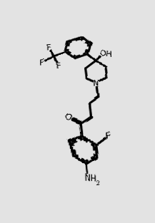 Nc1ccc(C(=O)CCCN2CCC(O)(c3cccc(C(F)(F)F)c3)CC2)c(F)c1